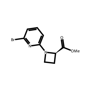 COC(=O)[C@H]1CCN1c1cccc(Br)n1